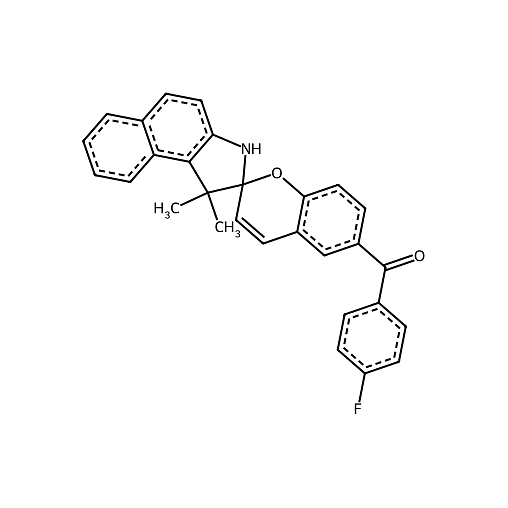 CC1(C)c2c(ccc3ccccc23)NC12C=Cc1cc(C(=O)c3ccc(F)cc3)ccc1O2